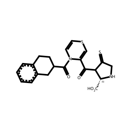 O=C(C1=CSC=CN1C(=O)C1CCc2ccccc2C1)C1C(=S)CN[C@@H]1C(=O)O